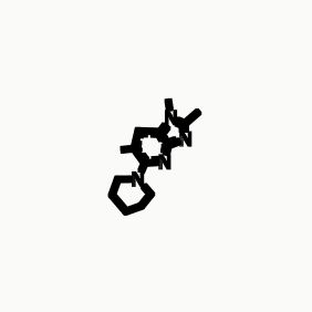 Cc1cc2c(nc1N1CCCCC1)nc(C)n2C